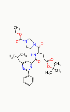 CCOC(=O)N1CCN(C(=O)C(CCC(=O)OC(C)(C)C)NC(=O)c2cc(CC(C)C)nc(-c3ccccc3)n2)CC1